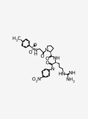 Cc1ccc(S(=O)(=O)NCC(=O)N2CCC[C@H]2C(=O)N[C@@H](CCCNC(=N)N)C(=O)[N]c2ccc([N+](=O)[O-])cc2)cc1